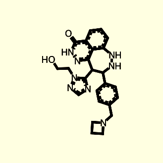 O=c1[nH]nc2c3c(cccc13)NNC(c1ccc(CN3CCC3)cc1)C2c1ncnn1CCO